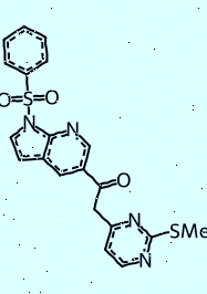 CSc1nccc(CC(=O)c2cnc3c(ccn3S(=O)(=O)c3ccccc3)c2)n1